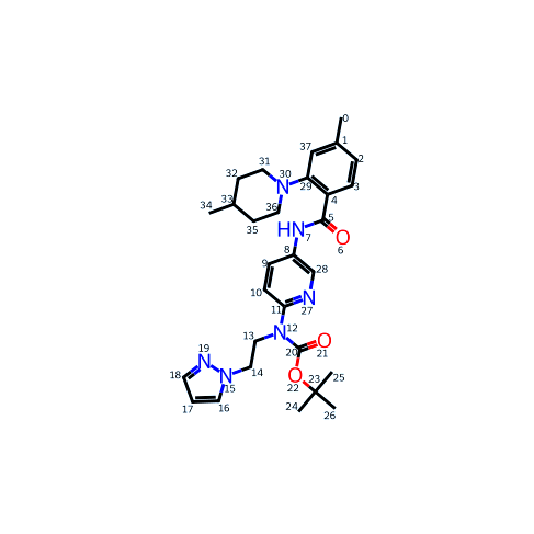 Cc1ccc(C(=O)Nc2ccc(N(CCn3cccn3)C(=O)OC(C)(C)C)nc2)c(N2CCC(C)CC2)c1